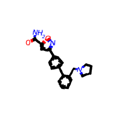 NC(=O)c1cc(-c2ccc(-c3ccccc3CN3CCCC3)cc2)no1